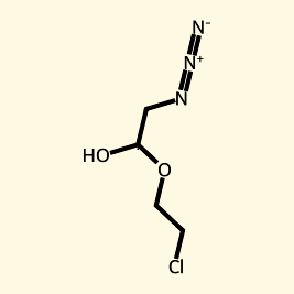 [N-]=[N+]=NC[C](O)OCCCl